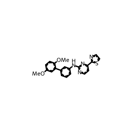 COc1ccc(OC)c(-c2cccc(Nc3nccc(-c4nccs4)n3)c2)c1